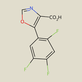 O=C(O)c1ncoc1-c1cc(F)c(F)cc1F